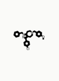 COc1ccc(CN2CCc3c(-c4ccc(Cl)cc4)nn(Cc4ccccc4)c3CC2)cc1